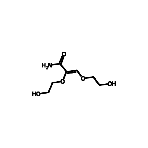 NC(=O)C(=COCCO)OCCO